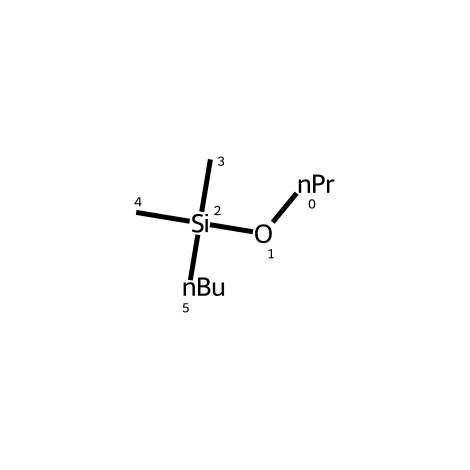 [CH2]CCO[Si](C)(C)CCCC